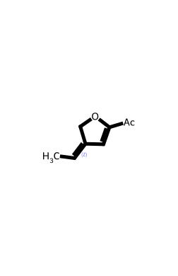 C/C=C1/C=C(C(C)=O)OC1